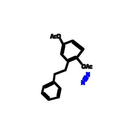 CC(=O)Oc1ccc(OC(C)=O)c(CCc2ccccc2)c1.N#N